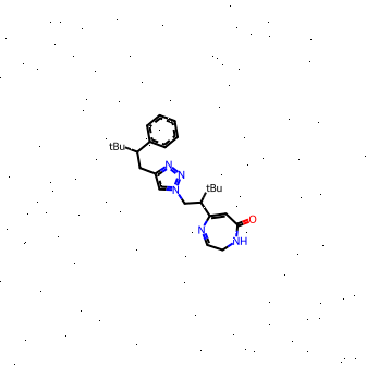 CC(C)(C)C(Cn1cc(CC(c2ccccc2)C(C)(C)C)nn1)C1=CC(=O)NCC=N1